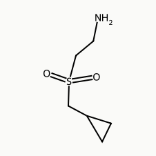 NCCS(=O)(=O)CC1CC1